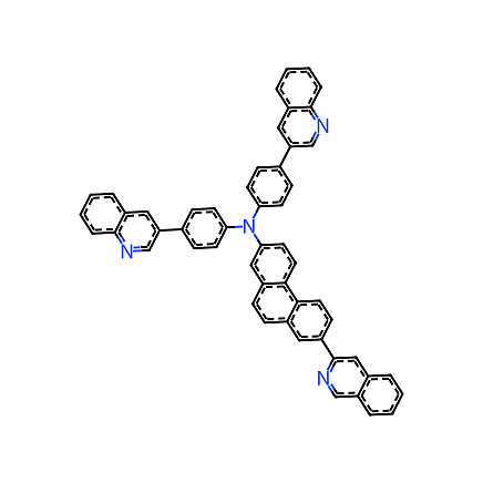 c1ccc2cc(-c3ccc4c(ccc5cc(N(c6ccc(-c7cnc8ccccc8c7)cc6)c6ccc(-c7cnc8ccccc8c7)cc6)ccc54)c3)ncc2c1